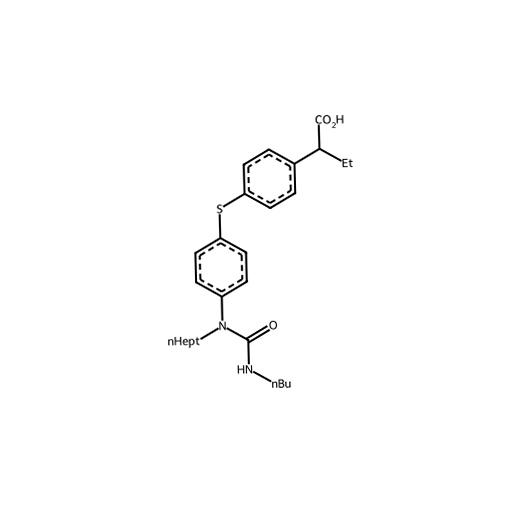 CCCCCCCN(C(=O)NCCCC)c1ccc(Sc2ccc(C(CC)C(=O)O)cc2)cc1